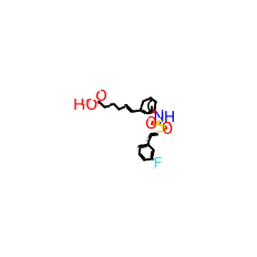 O=C(O)CCCC=CC1CC2CCC1C(NS(=O)(=O)C=Cc1cccc(F)c1)C2